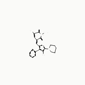 [C-]#[N+]c1c(N2CCCCC2)sc(/C=C2/C=C(C#N)C(=O)N(CCCCCC)C2=O)c1-c1ccccc1